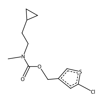 CN(CCC1CC1)C(=O)OCc1csc(Cl)c1